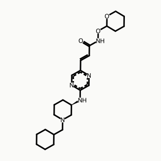 O=C(C=Cc1cnc(N[C@@H]2CCCN(CC3CCCCC3)C2)cn1)NOC1CCCCO1